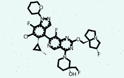 C[C@@H]1C[C@@H]1c1c(Cl)c(F)c2c(cnn2C2CCCCO2)c1-c1ncc2c(N3CCC[C@](O)(CF)C3)nc(OC[C@@]34CCCN3C[C@H](F)C4)nc2c1F